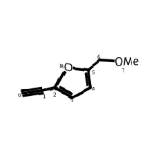 C#Cc1ccc(COC)o1